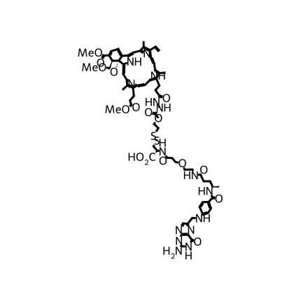 C=CC1=C(C)c2cc3[nH]c(cc4nc(cc5[nH]c(cc1n2)c(C)c5CCC(=O)NNC(=O)OCCSSC[C@@H](NC(=O)CCOCCNC(=O)CC[C@@H](C)NC(=O)c1ccc(NCc2cnc5nc(N)[nH]c(=O)c5n2)cc1)C(=O)O)C(CCC(=O)OC)=C4C)[C@]1(C)C3=CC=C(C(=O)OC)[C@@H]1C(=O)OC